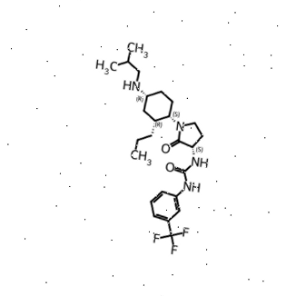 CCC[C@@H]1C[C@H](NCC(C)C)CC[C@@H]1N1CC[C@H](NC(=O)Nc2cccc(C(F)(F)F)c2)C1=O